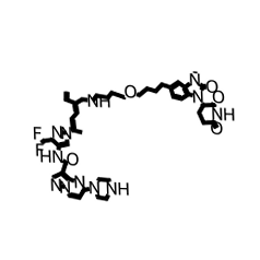 C=C/C(=C\C=C(/C)n1cc(NC(=O)c2cnn3ccc(N4CCNCC4)nc23)c(C(F)F)n1)CNCCCCOCCCCc1ccc2c(c1)n(C)c(=O)n2C1CCC(=O)NC1=O